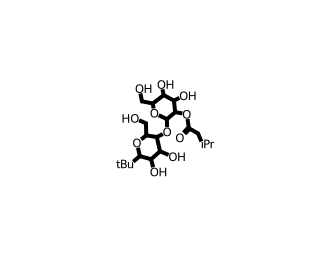 CC(C)CC(=O)OC1C(OC2C(CO)OC(C(C)(C)C)C(O)C2O)OC(CO)C(O)C1O